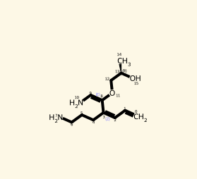 C=C/C=C(CCCN)\C(=C/N)OC[C@@H](C)O